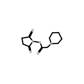 O=C(CN1CCCCC1)ON1C(=O)CCC1=O